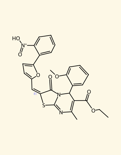 CCOC(=O)C1=C(C)N=c2s/c(=C/c3ccc(-c4ccccc4[N+](=O)O)o3)c(=O)n2C1c1ccccc1OC